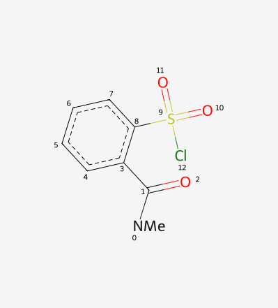 CNC(=O)c1ccccc1S(=O)(=O)Cl